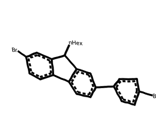 CCCCCCC1c2cc(Br)ccc2-c2ccc(-c3ccc(Br)cc3)cc21